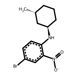 C[C@@H]1CCC[C@@H](Nc2ccc(Br)cc2[N+](=O)[O-])C1